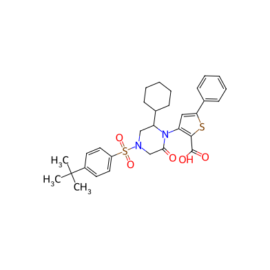 CC(C)(C)c1ccc(S(=O)(=O)N2CC(=O)N(c3cc(-c4ccccc4)sc3C(=O)O)C(C3CCCCC3)C2)cc1